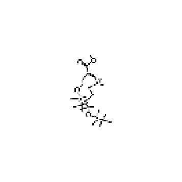 COC(=O)C(=C[C@@H](C)CCCC(C)(C)O[Si](C)(C)C(C)(C)C)CCO[Si](C)(C)C(C)(C)C